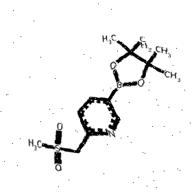 CC1(C)OB(c2ccc(CS(C)(=O)=O)nc2)OC1(C)C